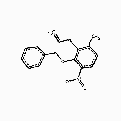 C=CCc1c(C)ccc([N+](=O)[O-])c1OCc1ccccc1